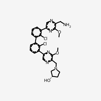 COc1nc(-c2cccc(-c3cccc(-c4cnc(CN5CC[C@H](O)C5)c(OC)n4)c3Cl)c2Cl)cnc1CN